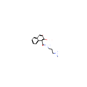 CN(C)CCCNC(=O)c1c(O)c(O)cc2ccccc12